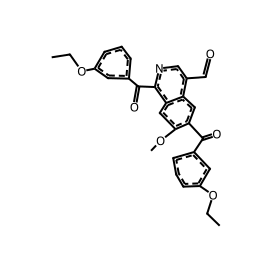 CCOc1cccc(C(=O)c2cc3c(C=O)cnc(C(=O)c4cccc(OCC)c4)c3cc2OC)c1